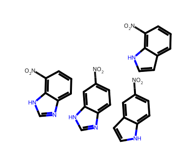 O=[N+]([O-])c1ccc2[nH]ccc2c1.O=[N+]([O-])c1ccc2nc[nH]c2c1.O=[N+]([O-])c1cccc2cc[nH]c12.O=[N+]([O-])c1cccc2nc[nH]c12